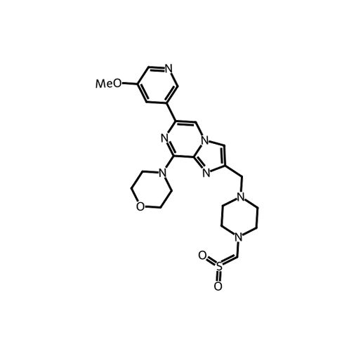 COc1cncc(-c2cn3cc(CN4CCN(C=S(=O)=O)CC4)nc3c(N3CCOCC3)n2)c1